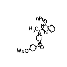 CCCOc1nc(C(C)N2CCN([S+]([O-])c3ccc(OC)cc3)CC2)nc2ccccc12